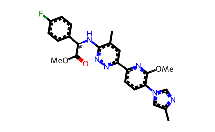 COC(=O)[C@H](Nc1nnc(-c2ccc(-n3cnc(C)c3)c(OC)n2)cc1C)c1ccc(F)cc1